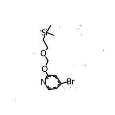 C[Si](C)(C)CCOCOc1cc(Br)ccn1